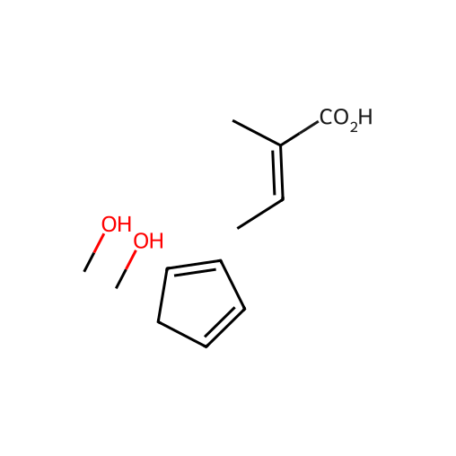 C1=CCC=C1.CC=C(C)C(=O)O.CO.CO